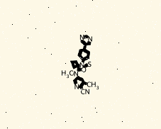 Cc1cc(N(C)C(=O)C2(N(C=S)c3ccc(-c4cncnc4)cc3)CCC2)cnc1C#N